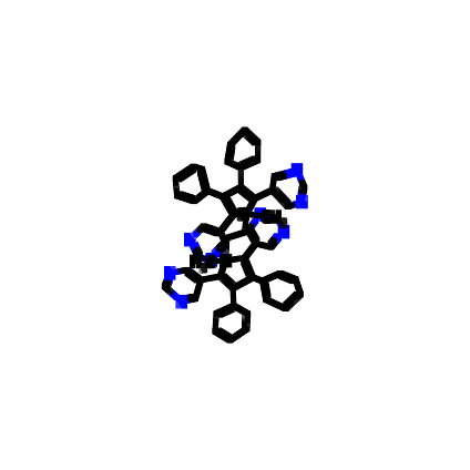 C[Si]1(CC[Si]2(C)C(c3cncnc3)=C(c3ccccc3)C(c3ccccc3)=C2c2cncnc2)C(c2cncnc2)=C(c2ccccc2)C(c2ccccc2)=C1c1cncnc1